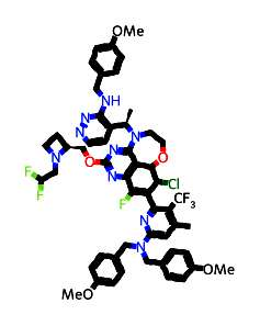 COc1ccc(CNc2nnccc2[C@@H](C)N2CCOC3c4c(nc(OC[C@@H]5CCN5CC(F)F)nc42)C(F)=C(c2nc(N(Cc4ccc(OC)cc4)Cc4ccc(OC)cc4)cc(C)c2C(F)(F)F)C3Cl)cc1